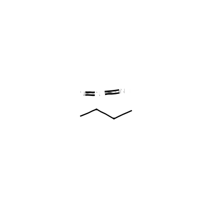 CCCC.N=[N+]=N